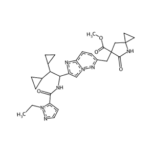 CCn1nccc1C(=O)NC(c1cn2nc(CC3(C(=O)OC)CC4(CC4)NC3=O)ccc2n1)C(C1CC1)C1CC1